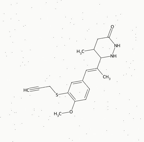 C#CCSc1cc(/C=C(\C)C2NNC(=O)CC2C)ccc1OC